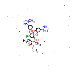 CCOC(=O)C(C(C)O)N(C)c1c(F)c(Oc2cccc(C3=NCCN3C)c2)nc(Oc2cc(C(=N)N)ccc2O)c1F